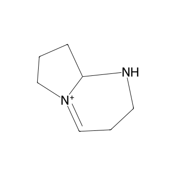 C1=[N+]2CCCC2NCC1